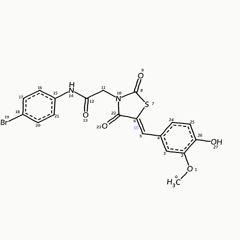 COc1cc(/C=C2\SC(=O)N(CC(=O)Nc3ccc(Br)cc3)C2=O)ccc1O